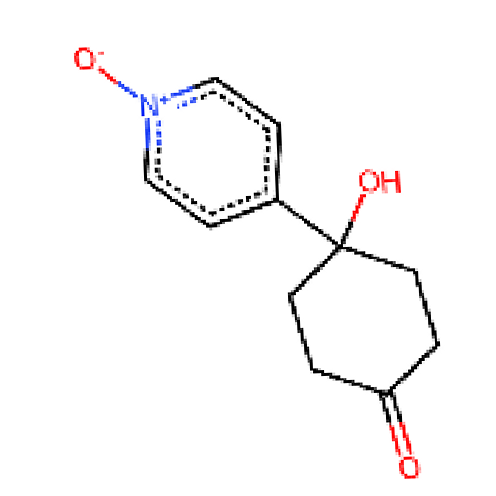 O=C1CCC(O)(c2cc[n+]([O-])cc2)CC1